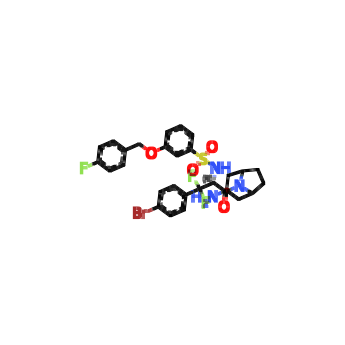 NC1CC2CCC(C1)N2C(=O)[C@@H](NS(=O)(=O)c1cccc(OCc2ccc(F)cc2)c1)C(F)(F)c1ccc(Br)cc1